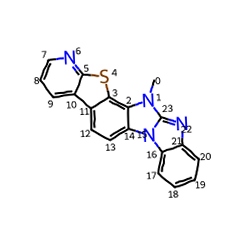 Cn1c2c3sc4ncccc4c3ccc2n2c3ccccc3nc12